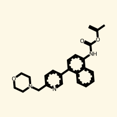 C=C(C)OC(=O)Nc1ccc(-c2ccc(CN3CCOCC3)nc2)c2ccccc12